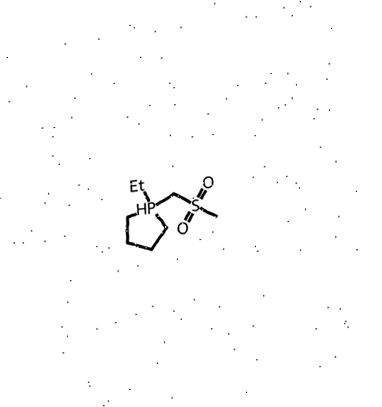 CC[PH]1(CS(C)(=O)=O)CCCC1